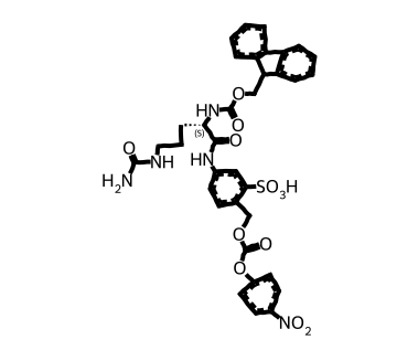 NC(=O)NCCC[C@H](NC(=O)OCC1c2ccccc2-c2ccccc21)C(=O)Nc1ccc(COC(=O)Oc2ccc([N+](=O)[O-])cc2)c(S(=O)(=O)O)c1